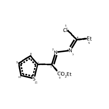 CCOC(=O)C(=NN=C(Cl)CC)c1cccs1